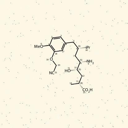 COc1ccc(C[C@@H](C[C@H](N)[C@@H](O)C[C@@H](C)C(=O)O)C(C)C)cc1OCC#N